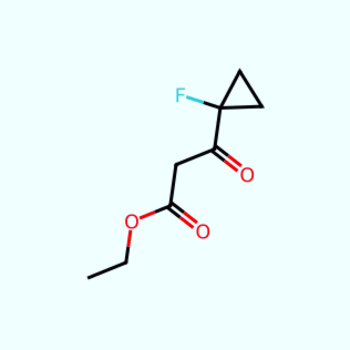 CCOC(=O)CC(=O)C1(F)CC1